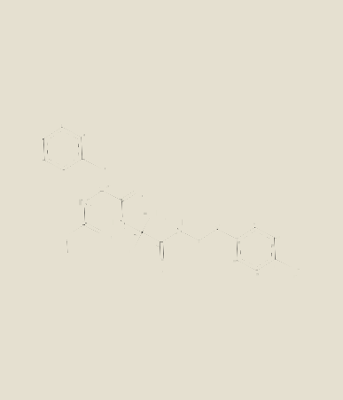 CC(C)(C)OC(=O)N[C@H](Cc1ccccc1)C(=O)NC(C)(C)C(=O)NCCc1ccc(O)cc1